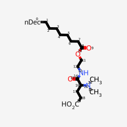 CCCCCCCCCCCCCCCCCC(=O)OCCNC(=O)C(CCC(=O)O)N(C)C